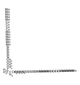 C.C.C.C.C.C.C.C.C.C.C.[Cu].[Cu].[Cu].[Cu].[Cu].[Cu].[Cu].[Cu].[Mn].[Mn].[Mn].[Mn].[Mn].[Mn].[Mn].[Mn].[Mn].[Mn].[Mn].[Mo].[Mo].[Mo].[Mo].[Mo].[Mo].[Mo].[Mo].[Mo].[Mo].[Mo].[Si].[Si].[Si].[Si].[Si].[Si].[Si].[Si].[Si].[Si].[Si]